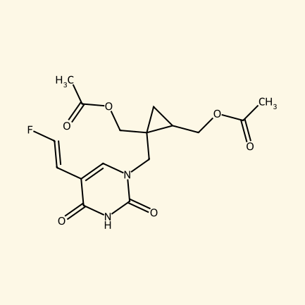 CC(=O)OCC1CC1(COC(C)=O)Cn1cc(C=CF)c(=O)[nH]c1=O